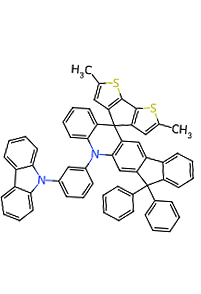 Cc1cc2c(s1)-c1sc(C)cc1C21c2ccccc2N(c2cccc(-n3c4ccccc4c4ccccc43)c2)c2cc3c(cc21)-c1ccccc1C3(c1ccccc1)c1ccccc1